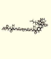 CCCCOc1nc(N)c2nc(O)n(Cc3ccc(C(=O)NCCCOCCOCCOCCCNC(=O)CCC(=O)OCC)cc3)c2n1